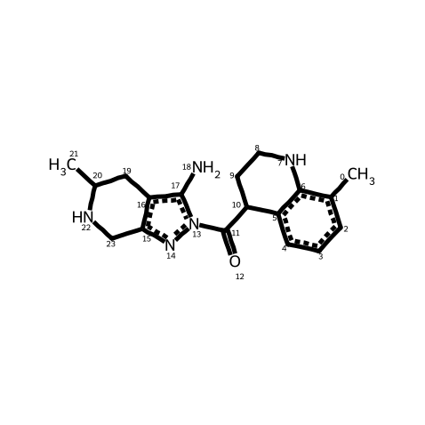 Cc1cccc2c1NCCC2C(=O)n1nc2c(c1N)CC(C)NC2